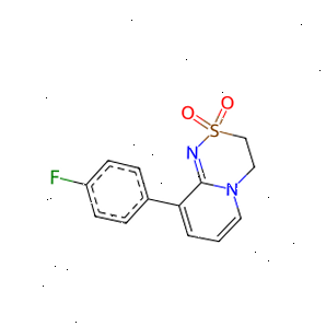 O=S1(=O)CCN2C=CC=C(c3ccc(F)cc3)C2=N1